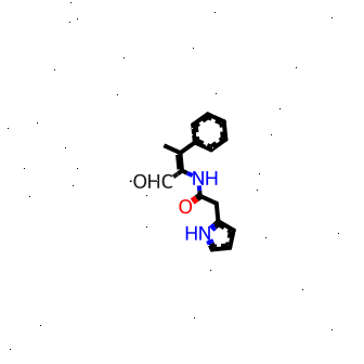 CC(=C([C]=O)NC(=O)Cc1ccc[nH]1)c1ccccc1